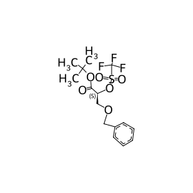 CC(C)(C)OC(=O)[C@H](COCc1ccccc1)OS(=O)(=O)C(F)(F)F